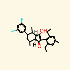 CCc1cc(C)cc(CC)c1C1=C(O)[C@@H]2C(C)C(c3cc(F)cc(F)c3)CC(C)[C@@H]2C1=O